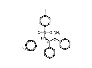 Cc1ccc(S(=O)(=O)N[C@H](c2ccccc2)[C@H](N)c2ccccc2)cc1.[Ru].c1ccccc1